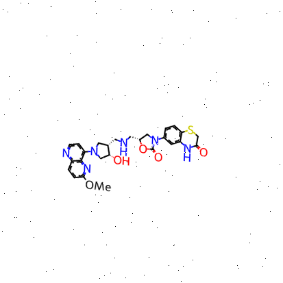 COc1ccc2nccc(N3C[C@H](CNC[C@@H]4CN(c5ccc6c(c5)NC(=O)CS6)C(=O)O4)[C@H](O)C3)c2n1